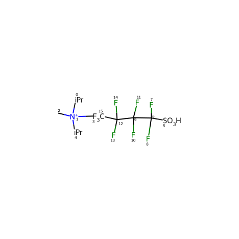 CC(C)[N+](C)(C)C(C)C.O=S(=O)(O)C(F)(F)C(F)(F)C(F)(F)C(F)(F)F